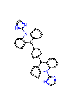 c1ccc2c(c1)B(c1ccc(B3c4ccccc4N(c4ncc[nH]4)c4ccccc43)cc1)c1ccccc1N2c1ncc[nH]1